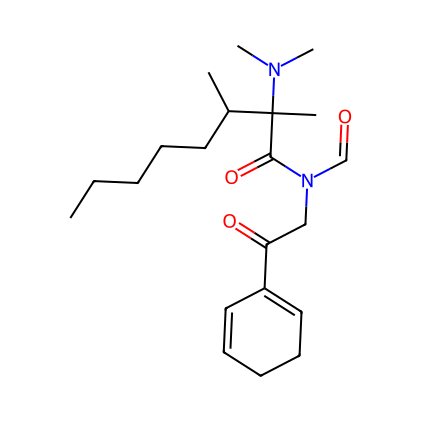 CCCCCC(C)C(C)(C(=O)N(C=O)CC(=O)C1=CCCC=C1)N(C)C